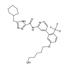 O=C(Nc1cc(-c2cc(OCCCCCO)ccc2C(F)(F)F)ccn1)c1nnc(CC2CCCCC2)[nH]1